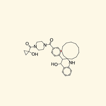 O=C(c1ccc(C2C(O)c3ccccc3NC23CCCCCCCCCC3)cc1)N1CCN(C(=O)C2(O)CC2)CC1